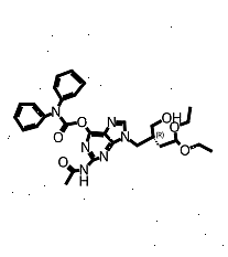 CCOC(C[C@@H](CO)Cn1cnc2c(OC(=O)N(c3ccccc3)c3ccccc3)nc(NC(C)=O)nc21)OCC